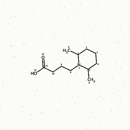 CC1CCCC(C)N1CCCC(=O)O